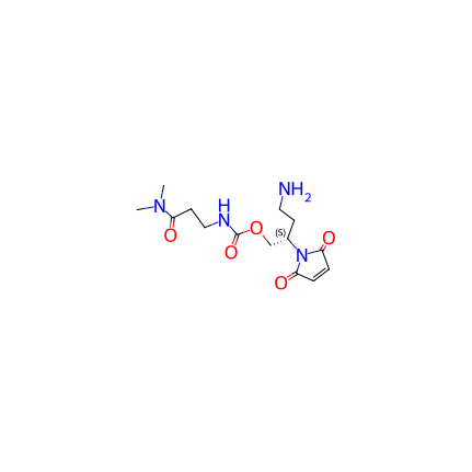 CN(C)C(=O)CCNC(=O)OC[C@H](CCN)N1C(=O)C=CC1=O